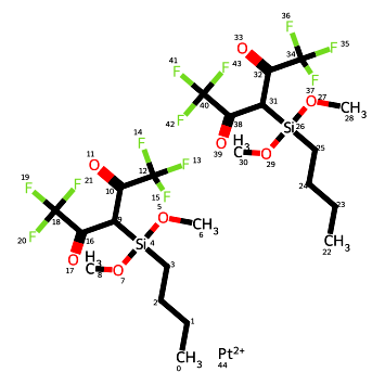 CCCC[Si](OC)(OC)C(C(=O)C(F)(F)F)C(=O)C(F)(F)F.CCCC[Si](OC)(OC)C(C(=O)C(F)(F)F)C(=O)C(F)(F)F.[Pt+2]